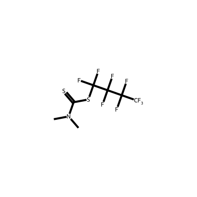 CN(C)C(=S)SC(F)(F)C(F)(F)C(F)(F)C(F)(F)F